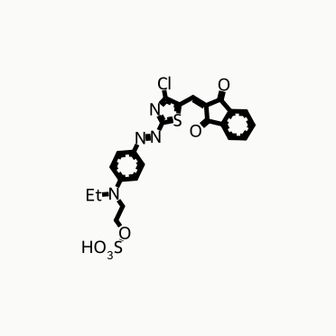 CCN(CCOS(=O)(=O)O)c1ccc(/N=N/c2nc(Cl)c(C=C3C(=O)c4ccccc4C3=O)s2)cc1